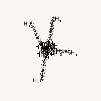 CCCCCCCCCCCCCCCC(=O)NC(CO)(CO)CO[Si](CCC[N+](C)(C)CCCCCCCCCC)(OCC(CO)(CO)NC(=O)CCCCCCCCCCCCCCC)OCC(CO)(CO)NC(=O)CCCCCCCCCCCCCCC